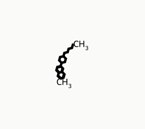 CCCCCCC1CCC(c2ccc3cc(C)ccc3c2)CC1